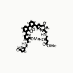 COC(=O)C[C@H](O)CNCc1nn2cc(-c3cccc(-c4cccc(-c5ccc(CNC[C@H]6CCC(=O)N6)c(OC)n5)c4Cl)c3Cl)cc2c(=O)n1C